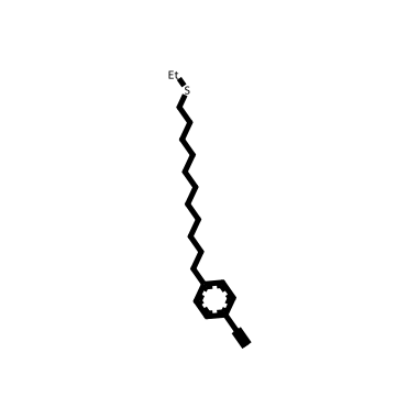 C#Cc1ccc(CCCCCCCCCCCSCC)cc1